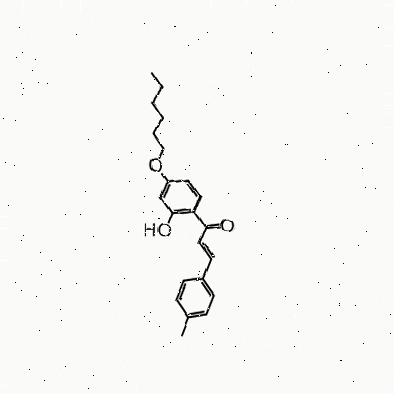 CCCCCCOc1ccc(C(=O)C=Cc2ccc(C)cc2)c(O)c1